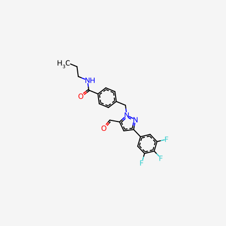 CCCNC(=O)c1ccc(Cn2nc(-c3cc(F)c(F)c(F)c3)cc2C=O)cc1